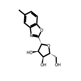 Cc1ccc2oc([C@@H]3O[C@H](CO)[C@@H](O)[C@H]3O)nc2c1